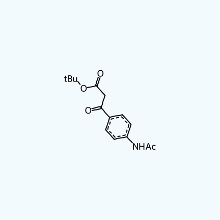 CC(=O)Nc1ccc(C(=O)CC(=O)OC(C)(C)C)cc1